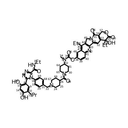 CCNC(=O)c1nnc(-c2cc(C(C)C)c(O)cc2O)n1-c1ccc(CN2CCC(C(=O)N3CCC(N(C)C(=O)Oc4ccc5nc6c(c(CC)c5c4)Cn4c-6cc5c(c4=O)COC(=O)C5(O)CC)CC3)CC2)cc1